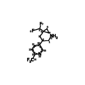 NCC(CC1(C(F)F)CC1)c1ccc(C(F)(F)F)nc1